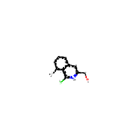 Cc1cccc2cc(CO)nc(Cl)c12